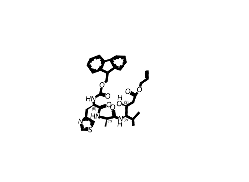 C=CCOC(=O)C[C@H](O)[C@H](NC(=O)[C@@H](C)NC(=O)[C@@H](Cc1cscn1)NC(=O)OCC1c2ccccc2-c2ccccc21)C(C)C